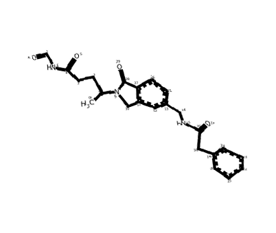 CC(CCC(=O)NC=O)N1Cc2cc(CNC(=O)Cc3ccccc3)ccc2C1=O